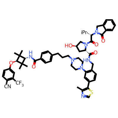 Cc1ncsc1-c1ccc(CNC(=O)[C@@H]2C[C@@H](O)CN2C(=O)[C@H](C(C)C)N2Cc3ccccc3C2=O)c(N2CCN(CCCc3ccc(C(=O)N[C@H]4C(C)(C)[C@H](Oc5ccc(C#N)c(C(F)(F)F)c5)C4(C)C)cc3)CC2)c1